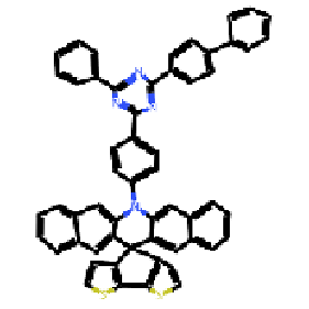 c1ccc(-c2ccc(-c3nc(-c4ccccc4)nc(-c4ccc(N5c6cc7ccccc7cc6C6(c7cc8ccccc8cc75)c5ccsc5-c5sccc56)cc4)n3)cc2)cc1